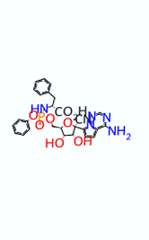 N#C[C@@]1(c2ccc3c(N)ncnn23)O[C@H](COP(=O)(N[C@H](Cc2ccccc2)C(=O)O)Oc2ccccc2)[C@@H](O)[C@H]1O